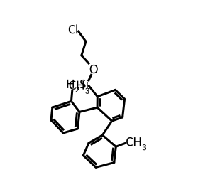 Cc1ccccc1-c1cccc([SiH2]OCCCl)c1-c1ccccc1C